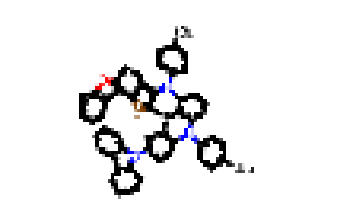 CC(C)(C)c1ccc(N2c3ccc(-n4c5ccccc5c5ccccc54)cc3B3c4sc5c(ccc6oc7ccccc7c65)c4N(c4ccc(C(C)(C)C)cc4)c4cccc2c43)cc1